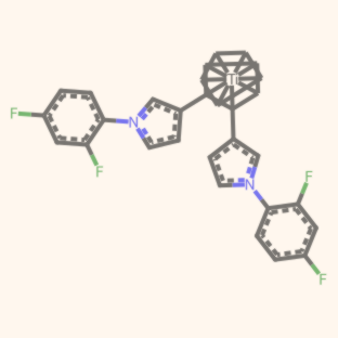 Fc1ccc(-n2ccc([C]34[CH]5[CH]6[CH]7[C]3(c3ccn(-c8ccc(F)cc8F)c3)[Ti]6574389%10[CH]4[CH]3[CH]8[CH]9[CH]4%10)c2)c(F)c1